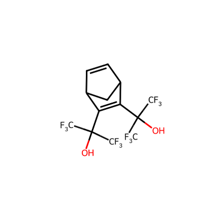 OC(C1=C(C(O)(C(F)(F)F)C(F)(F)F)C2C=CC1C2)(C(F)(F)F)C(F)(F)F